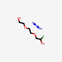 OCCOCCOCC(O)F.[N-]=[N+]=N